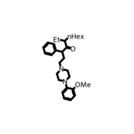 CCCCCCC(CC)C(=O)C(CCN1CCN(c2ccccc2OC)CC1)c1ccccc1